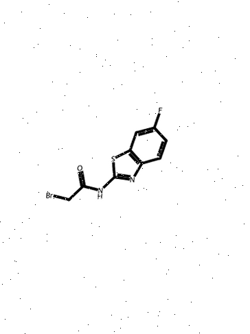 O=C(CBr)Nc1nc2ccc(F)cc2s1